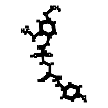 COc1ccc(CNS(=O)(=O)CCC(=O)NCc2ccc(Cl)cc2)c(OC)c1